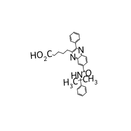 CC(C)(NC(=O)c1ccc2nc(-c3ccccc3)c(CCCCC(=O)O)nc2c1)c1ccccc1